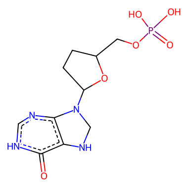 O=c1[nH]cnc2c1NCN2C1CCC(COP(=O)(O)O)O1